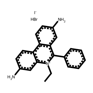 Br.CC[n+]1c(-c2ccccc2)c2cc(N)ccc2c2ccc(N)cc21.[I-]